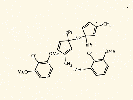 CCC[C]1([Zr+2][C]2(CCC)C=CC(C)=C2)C=CC(C)=C1.COc1cccc(OC)c1[O-].COc1cccc(OC)c1[O-]